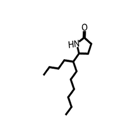 CCCCCCC(CCCC)C1CCC(=O)N1